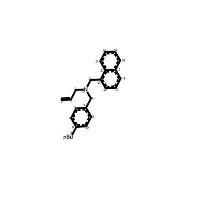 C=CCN(Cc1ccc(CCCC)cc1)Cc1cccc2ccccc12